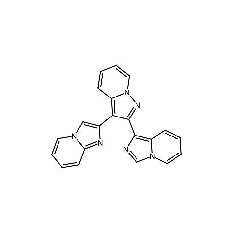 c1ccn2cc(-c3c(-c4ncn5ccccc45)nn4ccccc34)nc2c1